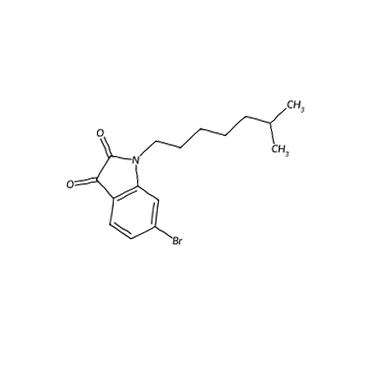 CC(C)CCCCCN1C(=O)C(=O)c2ccc(Br)cc21